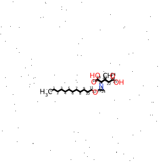 CCCCCCCCCCCCO[C@H]1CN1C(C(=O)O)C(C)CC(=O)O